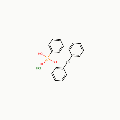 Cl.O[PH](O)(O)c1ccccc1.c1cc[c]([Cu][c]2ccccc2)cc1